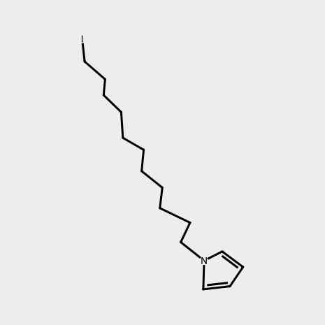 ICCCCCCCCCCCn1cccc1